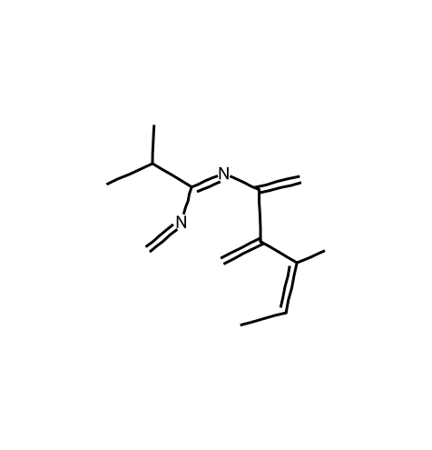 C=N/C(=N\C(=C)C(=C)/C(C)=C\C)C(C)C